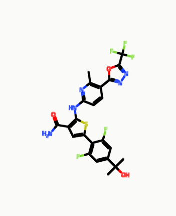 Cc1nc(Nc2sc(-c3c(F)cc(C(C)(C)O)cc3F)cc2C(N)=O)ccc1-c1nnc(C(F)(F)F)o1